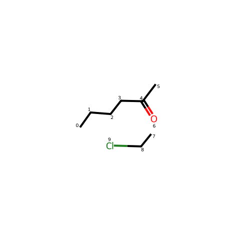 CCCCC(C)=O.CCCl